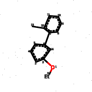 CCOc1cccc(-c2ccccc2C)c1